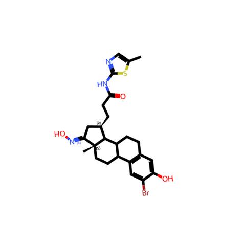 Cc1cnc(NC(=O)CC[C@@H]2C/C(=N\O)[C@@]3(C)CCC4c5cc(Br)c(O)cc5CCC4C23)s1